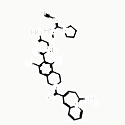 CC1CC=C(C(=O)N2CCc3c(cc(Cl)c(C(=O)N[C@@H](CN/C(=N\C#N)N4CCCC4)C(=O)O)c3Cl)C2)C=C2C=CC=CN21